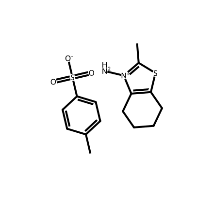 Cc1ccc(S(=O)(=O)[O-])cc1.Cc1sc2c([n+]1N)CCCC2